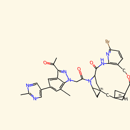 CC(=O)c1nn(CC(=O)N2C3C[C@]4(CC24)CC24CC(COCc5ccc(Br)nc5NC3=O)(C2)[C@@H]4C)c2c(C)cc(-c3cnc(C)nc3)cc12